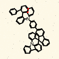 c1ccc(-c2ccccc2-c2ccccc2N(c2ccccc2)c2ccc(-c3ccc4c(c3)C3(c5ccccc5-4)c4ccccc4-n4c5ccccc5c5cccc3c54)cc2)cc1